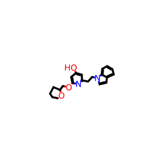 Oc1cc(CCn2ccc3ccccc32)nc(OCC2CCCCO2)c1